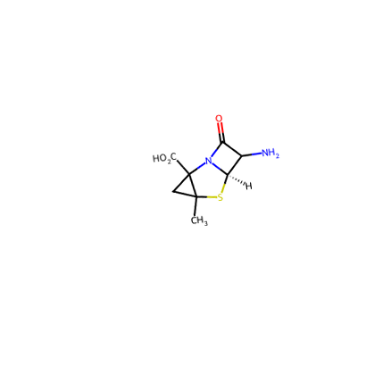 CC12CC1(C(=O)O)N1C(=O)C(N)[C@H]1S2